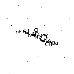 CCCOCCNC1[C@H]2N=C(N3CCCCN(C(O)OC(C)(C)C)CCC3)N=C(Cl)N12